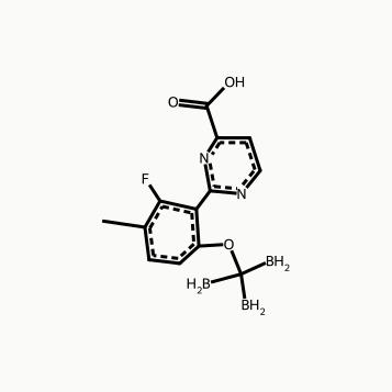 BC(B)(B)Oc1ccc(C)c(F)c1-c1nccc(C(=O)O)n1